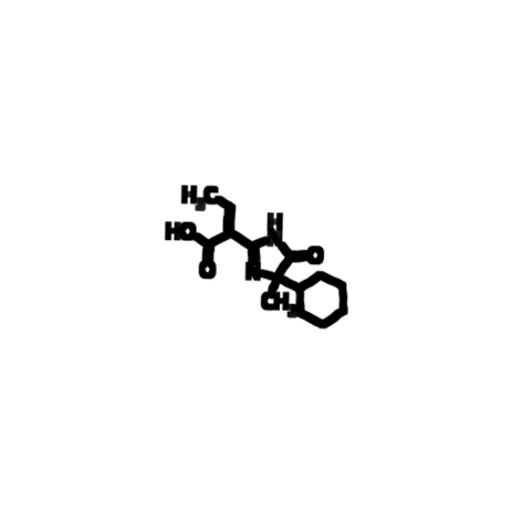 CC=C(C(=O)O)C1=NC(C)(C2CCCCC2)C(=O)N1